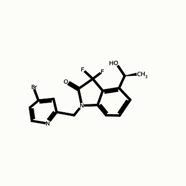 C[C@H](O)c1cccc2c1C(F)(F)C(=O)N2Cc1cc(Br)ccn1